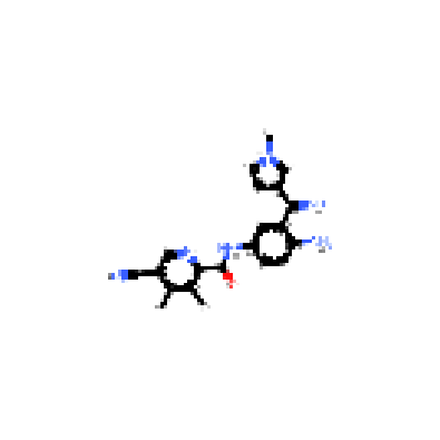 Cc1c(C#N)cnc(C(=O)Nc2ccc(N)c(C(=N)c3ccn(C)c3)c2)c1C